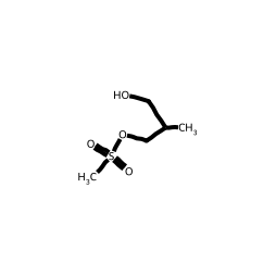 CC(CO)COS(C)(=O)=O